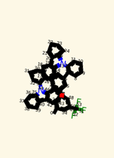 Cc1cc(-c2cc(-c3ccccc3-n3c4ccccc4c4ccccc43)cc(-c3ccccc3-n3c4ccccc4c4ccccc43)c2)cc(C(F)(F)F)c1